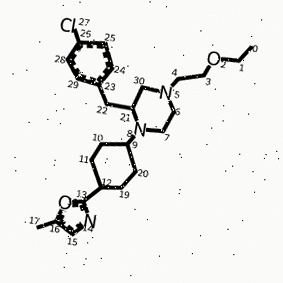 CCOCCN1CCN(C2CCC(c3ncc(C)o3)CC2)C(Cc2ccc(Cl)cc2)C1